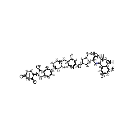 Cc1cc(OC2CC3CNC(N)=C(/C=C(\N)c4cc(F)cc(F)c4O)N3C2)ncc1CN1CCN(c2ccc3c(c2)C(=O)N(C2CCC(=O)NC2=O)C3)CC1